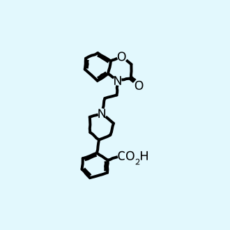 O=C(O)c1ccccc1C1CCN(CCN2C(=O)COc3ccccc32)CC1